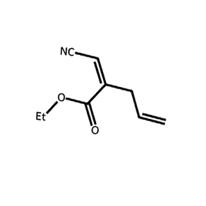 C=CCC(=CC#N)C(=O)OCC